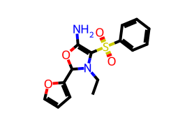 CCN1C(S(=O)(=O)c2ccccc2)=C(N)OC1c1ccco1